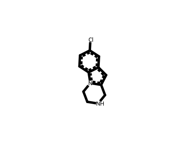 Clc1ccc2c(c1)cc1n2CCNC1